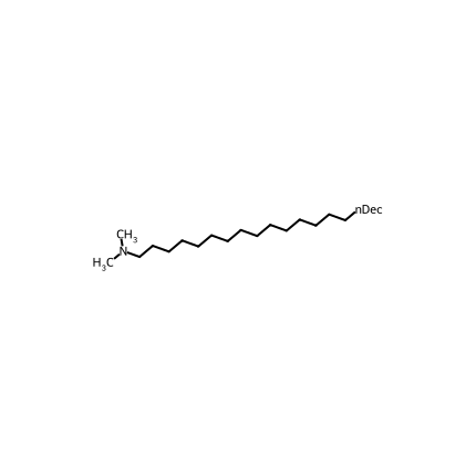 CCCCCCCCCCCCCCCCCCCCCCCCCN(C)C